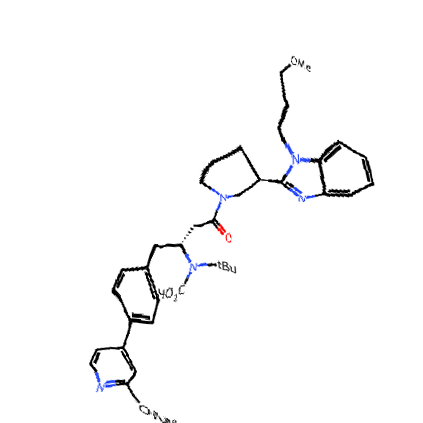 COCCCn1c([C@@H]2CCCN(C(=O)C[C@@H](Cc3ccc(-c4ccnc(OC)c4)cc3)N(C(=O)O)C(C)(C)C)C2)nc2ccccc21